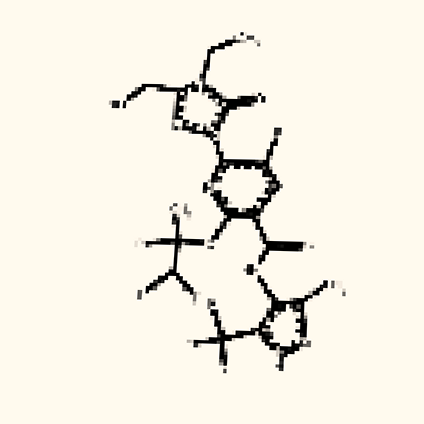 CCn1c(CO)nn(-c2nc(OC(C)(F)C(F)F)c(C(=O)Nc3c(C)n[nH]c3C(F)(F)F)cc2F)c1=O